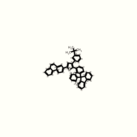 Cc1ccccc1C1(c2cccc(-c3[nH]c(-c4ccc5c(ccc6ccccc65)c4)cc3-c3cccc(C(C)(C)C)c3)c2C)c2ccccc2-c2ccccc21